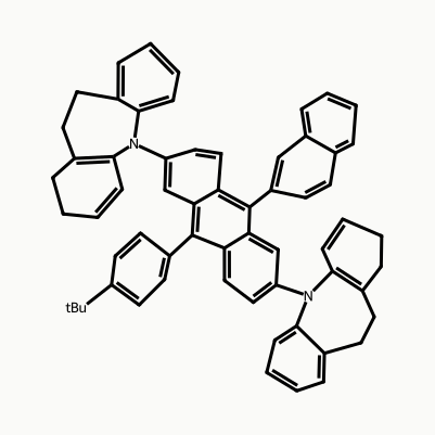 CC(C)(C)c1ccc(-c2c3ccc(N4C5=C(CCC=C5)CCc5ccccc54)cc3c(-c3ccc4ccccc4c3)c3ccc(N4C5=C(CCC=C5)CCc5ccccc54)cc23)cc1